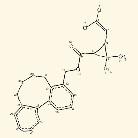 CC1(C)C(C=C(Cl)Cl)C1C(=O)OCc1cccc2c1CCCCc1ccccc1-2